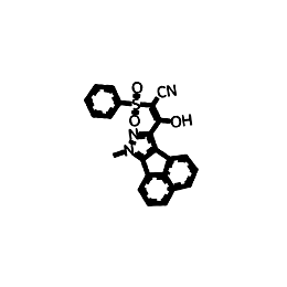 Cn1nc(/C(O)=C(/C#N)S(=O)(=O)c2ccccc2)c2c1-c1cccc3cccc-2c13